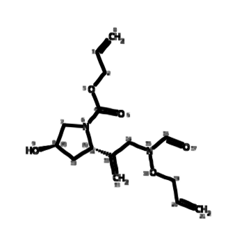 C=CCOC(=O)N1C[C@H](O)C[C@H]1C(=C)CN(C=O)OCC=C